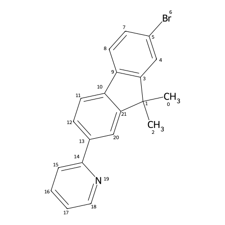 CC1(C)c2cc(Br)ccc2-c2ccc(-c3ccccn3)cc21